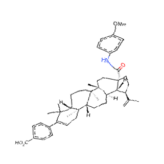 C=C(C)[C@@H]1CC[C@]2(C(=O)Nc3ccc(OC)cc3)CC[C@]3(C)[C@H](CC[C@@H]4[C@@]5(C)CC=C(c6ccc(C(=O)O)cc6)C(C)(C)[C@@H]5CC[C@]43C)[C@@H]12